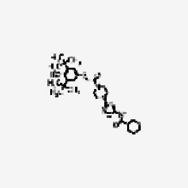 CC(C)(C)c1cc(SCC(=O)N2CCN([n+]3cc([N-]C(=O)C4CCCCC4)on3)CC2)cc(C(C)(C)C)c1O